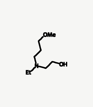 CCN(CCO)CCCOC